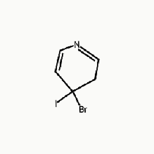 BrC1(I)C=CN=CC1